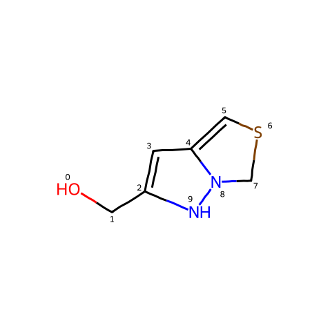 OCC1=CC2=CSCN2N1